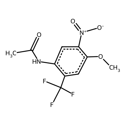 COc1cc(C(F)(F)F)c(NC(C)=O)cc1[N+](=O)[O-]